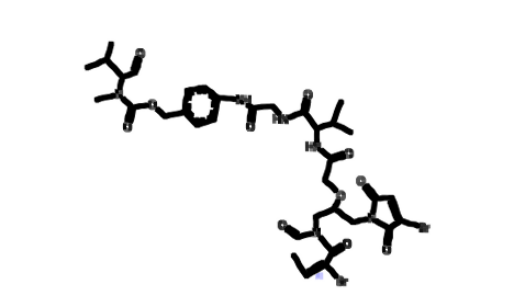 C/C=C(/Br)C(=O)N(C=O)CC(CN1C(=O)C=C(Br)C1=O)OCC(=O)NC(C(=O)NCC(=O)Nc1ccc(COC(=O)N(C)C(C=O)C(C)C)cc1)C(C)C